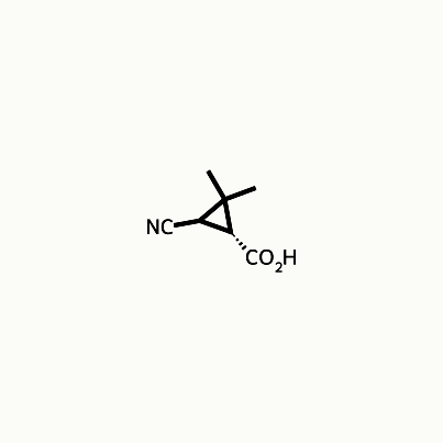 CC1(C)C(C#N)[C@H]1C(=O)O